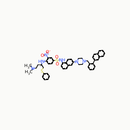 CN(C)CC[C@H](CSc1ccccc1)Nc1ccc(S(=O)(=O)Nc2cccc3cc(N4CCN(Cc5ccccc5-c5ccc6ccccc6c5)CC4)ccc23)cc1[N+](=O)[O-]